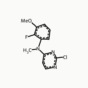 COc1cccc(N(C)c2ccnc(Cl)n2)c1F